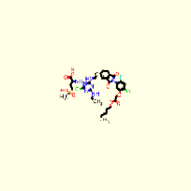 CCCCCOC(=O)COc1cc(N2C(=O)C3=C(CCCC3)C2=O)c(F)cc1Cl.CCNc1nc(Cl)nc(NCC)n1.CP(=O)(O)CCC(N)C(=O)O